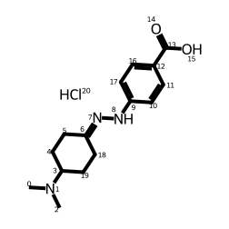 CN(C)C1CCC(=NNc2ccc(C(=O)O)cc2)CC1.Cl